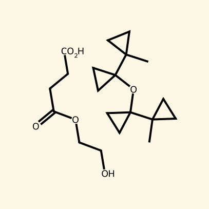 CC1(C2(OC3(C4(C)CC4)CC3)CC2)CC1.O=C(O)CCC(=O)OCCO